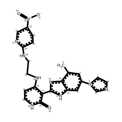 Cc1cc(-n2ccnc2)cc2[nH]c(-c3c(NCCNc4ccc([N+](=O)[O-])cn4)cc[nH]c3=O)nc12